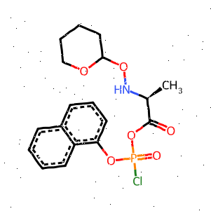 C[C@H](NOC1CCCCO1)C(=O)OP(=O)(Cl)Oc1cccc2ccccc12